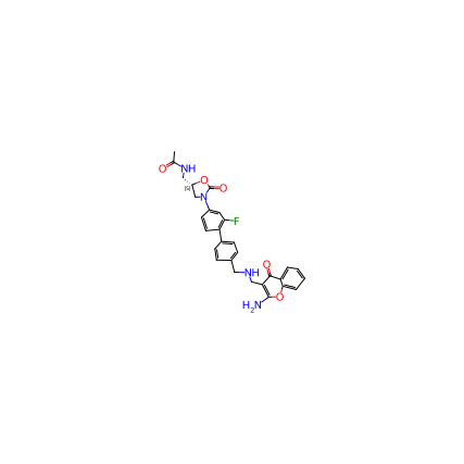 CC(=O)NC[C@H]1CN(c2ccc(-c3ccc(CNCc4c(N)oc5ccccc5c4=O)cc3)c(F)c2)C(=O)O1